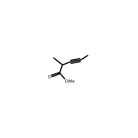 [CH2]C#CC(C)C(=O)OC